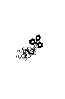 CO[C@H]1O[C@H](COC(c2ccccc2)(c2ccccc2)c2ccccc2)[C@H]2O[C@H]2[C@@H]1OS(C)(=O)=O